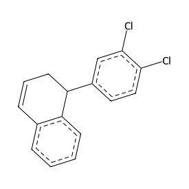 Clc1ccc(C2CC=Cc3ccccc32)cc1Cl